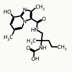 CCCC(C)(CNC(=O)c1c(C)nc2c(O)cc(C)cn12)NC(=O)O